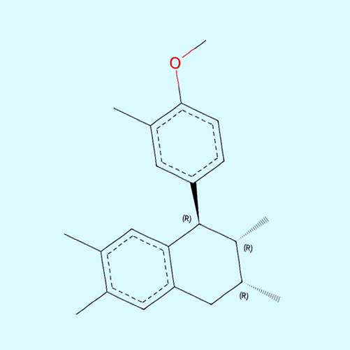 COc1ccc([C@@H]2c3cc(C)c(C)cc3C[C@@H](C)[C@H]2C)cc1C